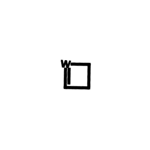 [CH]1=[W][CH2]C1